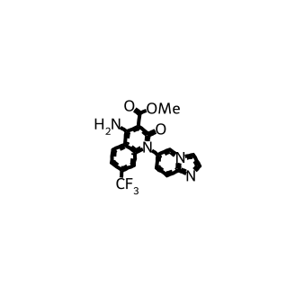 COC(=O)c1c(N)c2ccc(C(F)(F)F)cc2n(-c2ccc3nccn3c2)c1=O